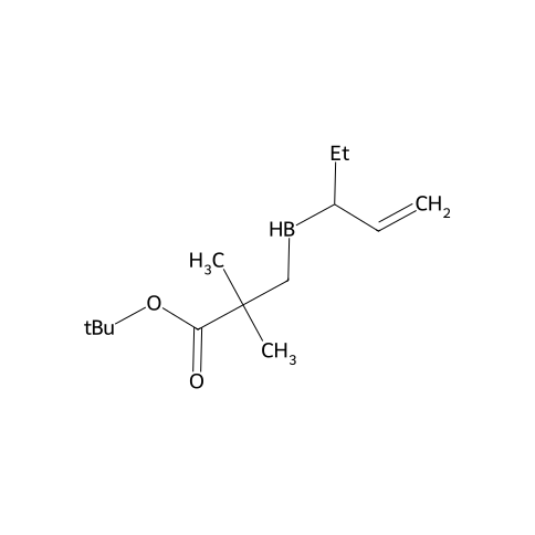 C=CC(BCC(C)(C)C(=O)OC(C)(C)C)CC